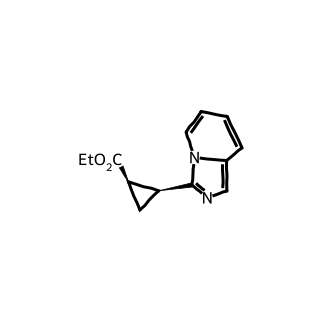 CCOC(=O)[C@@H]1C[C@@H]1c1ncc2ccccn12